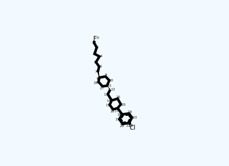 FCCCCCCC[C@H]1CC[C@H](CCC2CCC(c3ccc(Cl)cc3)CC2)CC1